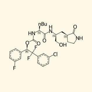 CCCC[C@H](NC(=O)O[C@H](c1cccc(F)c1)C(F)(F)c1cccc(Cl)c1)C(=O)N[C@H](CO)C[C@@H]1CCNC1=O